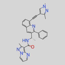 Cc1nn(C)cc1C#Cc1cccc2cc([C@H](C)NC(=O)c3c(C)nn4cccnc34)c(-c3ccccc3)nc12